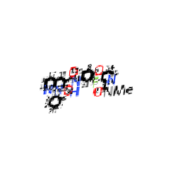 CNC(=O)c1cc(Oc2ccc(NC(=O)c3cc4cccnc4n(-c4ccccc4)c3=O)cc2F)ccn1